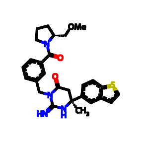 COC[C@H]1CCCN1C(=O)c1cccc(CN2C(=N)N[C@](C)(c3ccc4sccc4c3)CC2=O)c1